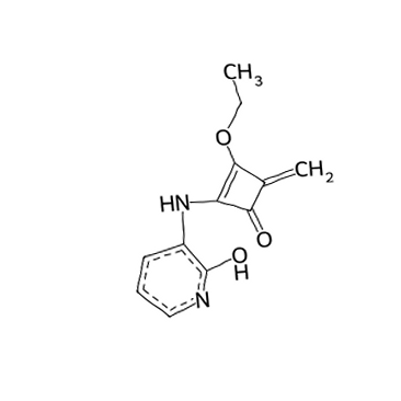 C=C1C(=O)C(Nc2cccnc2O)=C1OCC